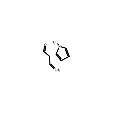 C=CCC=O.Cn1cccc1